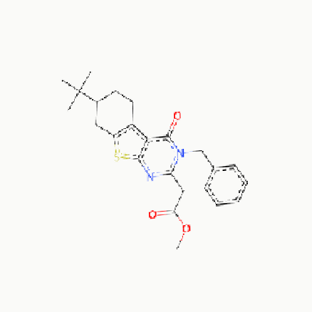 COC(=O)Cc1nc2sc3c(c2c(=O)n1Cc1ccccc1)CCC(C(C)(C)C)C3